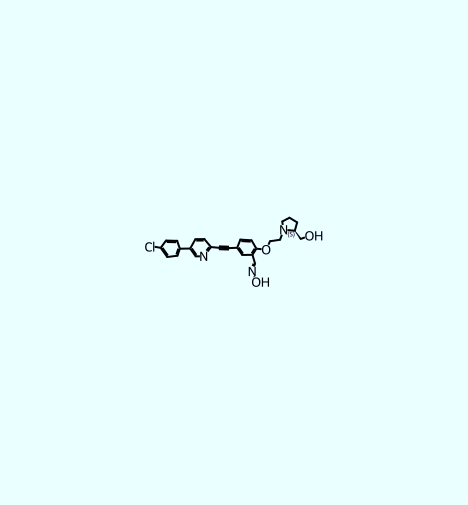 OC[C@@H]1CCCN1CCOc1ccc(C#Cc2ccc(-c3ccc(Cl)cc3)cn2)cc1C=NO